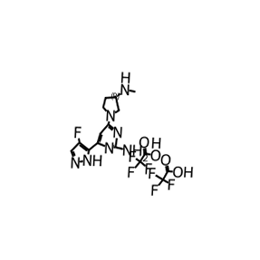 CN[C@@H]1CCN(c2cc(-c3[nH]ncc3F)nc(N)n2)C1.O=C(O)C(F)(F)F.O=C(O)C(F)(F)F